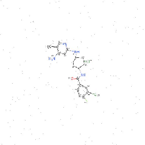 Cc1cnc(N[C@H]2CC[C@@H](NC(=O)c3ccc(F)c(Cl)c3)CC2)cc1N.Cl